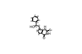 O=c1[nH]c(=S)[nH]c2c1cnn2CC(O)c1ccccc1